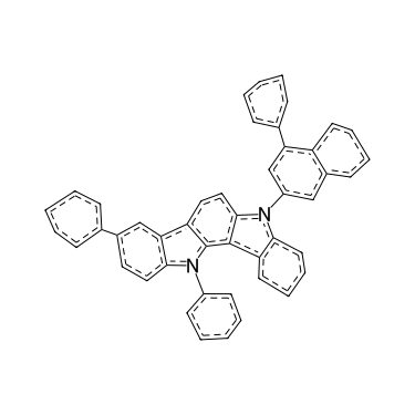 c1ccc(-c2ccc3c(c2)c2ccc4c(c5ccccc5n4-c4cc(-c5ccccc5)c5ccccc5c4)c2n3-c2ccccc2)cc1